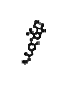 COC(=O)Cc1ccc(Oc2ccc3c(c2[N+](=O)[O-])C(SC)C(=O)N3)c(Cl)c1